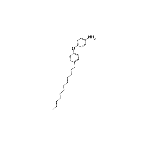 CCCCCCCCCCCCc1ccc(Oc2ccc(N)cc2)cc1